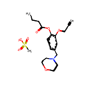 C#CCOc1cc(CN2CCOCC2)ccc1OC(=O)CCC.CS(=O)(=O)O